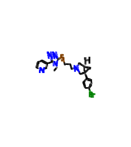 CCn1c(SCCCN2C[C@H]3C[C@]3(c3ccc(Br)cc3)C2)nnc1-c1cccnc1